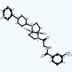 O=C(NCC(=O)N1CC[C@H]2[C@@H]1CCN2C1CCC(c2cccnc2)CC1)c1cccc(C(F)(F)F)c1